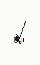 CCC=CCC=CCC=CCC=CCC=CCC=CCCC(=O)NC(Cc1ccccc1)C(=O)Oc1ccccc1C(=O)OCC